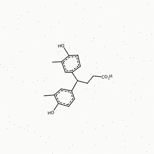 Cc1cc(C(CCC(=O)O)c2ccc(O)c(C)c2)ccc1O